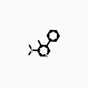 Cc1c(-c2ccccc2)[c]ncc1N(C)C